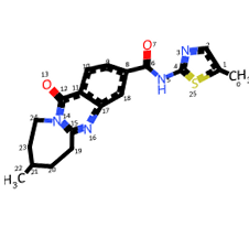 Cc1cnc(NC(=O)c2ccc3c(=O)n4c(nc3c2)CCC(C)CC4)s1